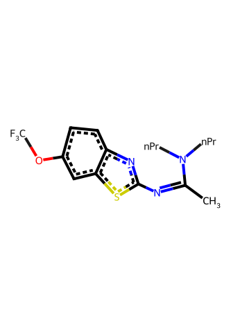 CCCN(CCC)/C(C)=N\c1nc2ccc(OC(F)(F)F)cc2s1